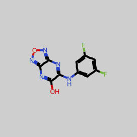 Oc1nc2nonc2nc1Nc1cc(F)cc(F)c1